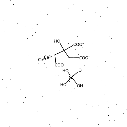 O=C([O-])CC(O)(CC(=O)[O-])C(=O)[O-].[Ca+2].[Ca+2].[O-][Si](O)(O)O